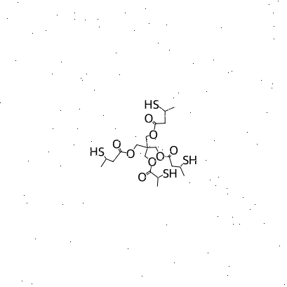 CC(S)CC(=O)OCC(COC(=O)CC(C)S)(COC(=O)CC(C)S)COC(=O)C(C)S